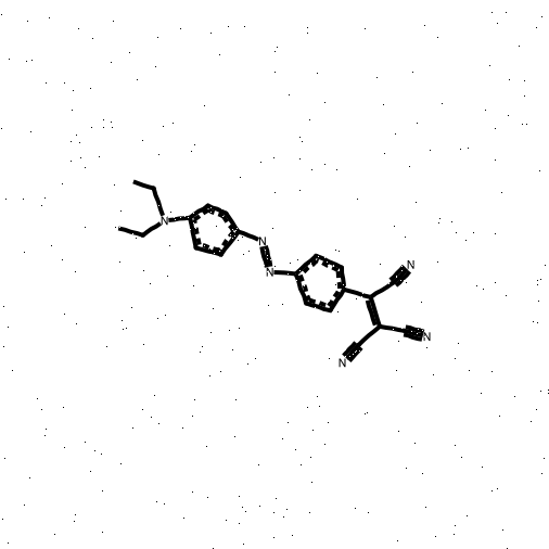 CCN(CC)c1ccc(N=Nc2ccc(C(C#N)=C(C#N)C#N)cc2)cc1